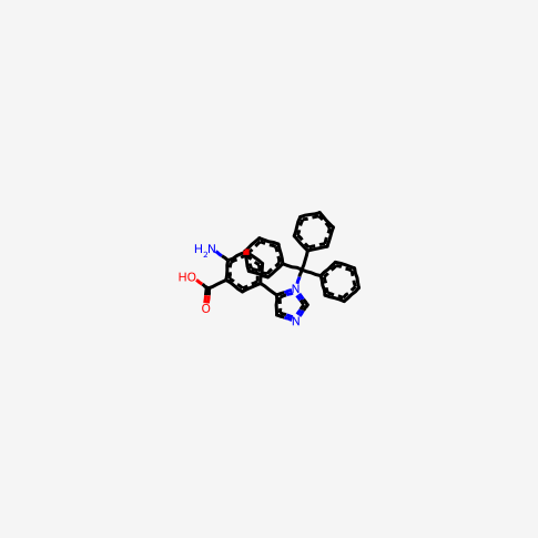 Nc1ccc(-c2cncn2C(c2ccccc2)(c2ccccc2)c2ccccc2)cc1C(=O)O